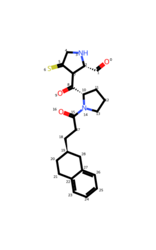 O=C[C@H]1NCC(=S)C1C(=O)[C@@H]1CCCN1C(=O)CC[C@@H]1CCc2ccccc2C1